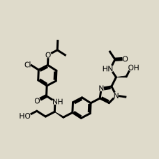 CC(=O)N[C@@H](CO)c1nc(-c2ccc(C[C@@H](CCO)NC(=O)c3ccc(OC(C)C)c(Cl)c3)cc2)cn1C